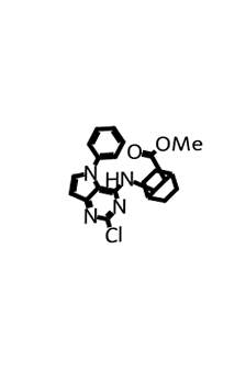 COC(=O)C1C2CCC(CC2)C1Nc1nc(Cl)nc2ccn(-c3ccccc3)c12